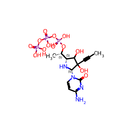 CC#CC1(O)C(O)[C@@H]([C@H](C)OP(=O)(O)OP(=O)(O)OP(=O)(O)O)N[C@H]1n1ccc(N)nc1=O